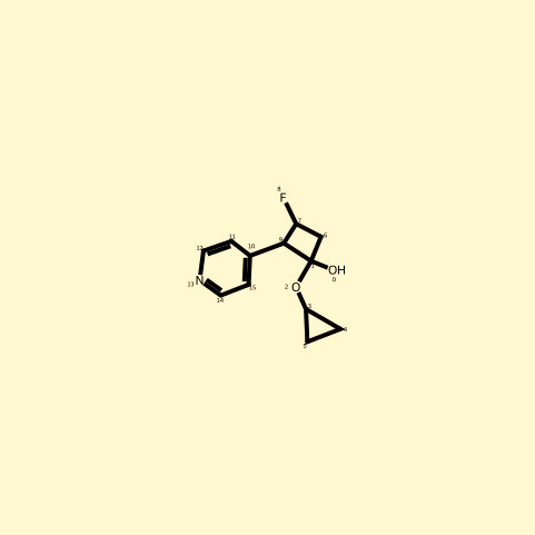 OC1(OC2CC2)CC(F)C1c1ccncc1